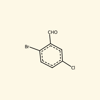 O=Cc1cc(Cl)ccc1Br